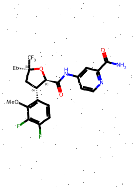 CC[C@@]1(C(F)(F)F)C[C@@H](c2ccc(F)c(F)c2OC)[C@H](C(=O)Nc2ccnc(C(N)=O)c2)O1